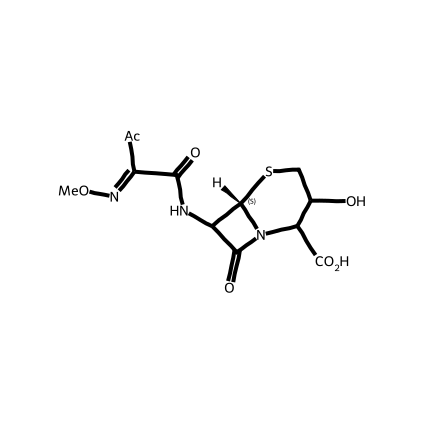 CON=C(C(C)=O)C(=O)NC1C(=O)N2C(C(=O)O)C(O)CS[C@@H]12